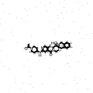 CC(=O)N1CCC(Nc2cc(C(=O)N3CC[C@]4(Cc5ccccc5CN4)[C@H](O)C3)c(F)cn2)CC1